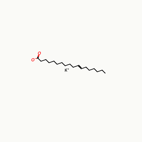 CCCCCC/C=C/CCCCCCCCCC(=O)[O-].[K+]